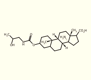 CC(O)CNC(=O)OC1CC[C@@]2(C)C(CC[C@@H]3[C@H]2CC[C@]2(C)C(C(=O)O)CC[C@@]32N)C1